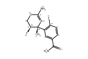 C[C@]1(c2cc(C(N)=O)ccc2F)N=C(N)OC[C@@H]1F